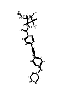 CC(NC(=O)c1ccc(C#Cc2ccc(CN3CCOCC3)cc2)cc1)(C(=O)NO)C(C)(O)C(F)F